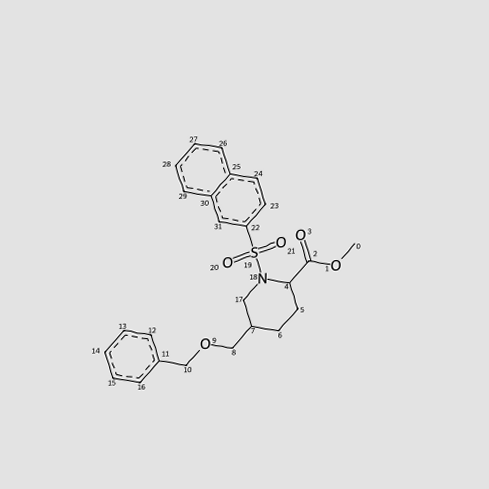 COC(=O)C1CCC(COCc2ccccc2)CN1S(=O)(=O)c1ccc2ccccc2c1